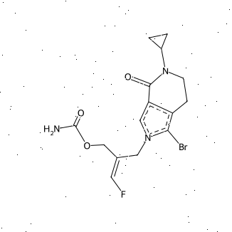 NC(=O)OC/C(=C/F)Cn1cc2c(c1Br)CCN(C1CC1)C2=O